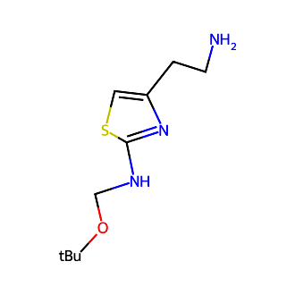 CC(C)(C)OCNc1nc(CCN)cs1